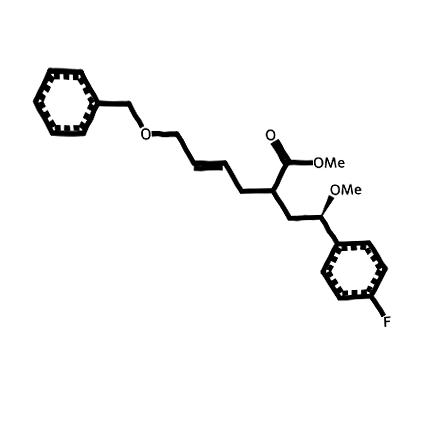 COC(=O)C(C/C=C/COCc1ccccc1)C[C@@H](OC)c1ccc(F)cc1